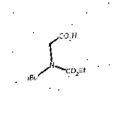 CCCCN(CC(=O)O)C(=O)OCC